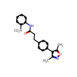 Cc1noc(C)c1-c1ccc(CCC(=O)Nc2ccccc2C(=O)O)cc1